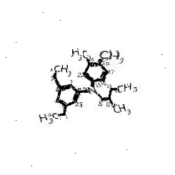 CCc1cc(CC)cc(N(CC(C)CC)c2ccc(C)c(C)c2)c1